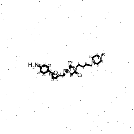 CN1CCN(CCCCN2C(=O)CN(/N=C/c3ccc(-c4ccc(N)cc4)o3)C2=O)CC1